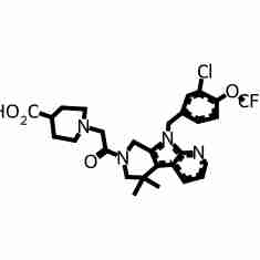 CC1(C)CN(C(=O)CN2CCC(C(=O)O)CC2)Cc2c1c1cccnc1n2Cc1ccc(OC(F)(F)F)c(Cl)c1